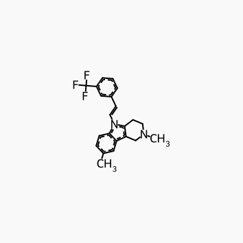 Cc1ccc2c(c1)c1c(n2C=Cc2cccc(C(F)(F)F)c2)CCN(C)C1